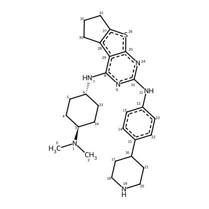 CN(C)[C@H]1CC[C@H](Nc2nc(Nc3ccc(C4CCNCC4)cc3)nc3sc4c(c23)CCC4)CC1